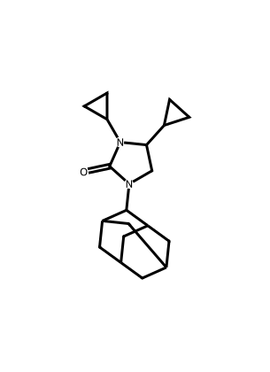 O=C1N(C2C3CC4CC(C3)CC2C4)CC(C2CC2)N1C1CC1